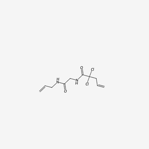 C=CCNC(=O)CNC(=O)C(Cl)(Cl)CC=C